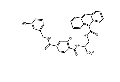 O=C(NCc1cccc(O)c1)c1ccc(C(=O)N[C@@H](CNC(=O)c2c3ccccc3cc3ccccc23)C(=O)O)c(Cl)c1